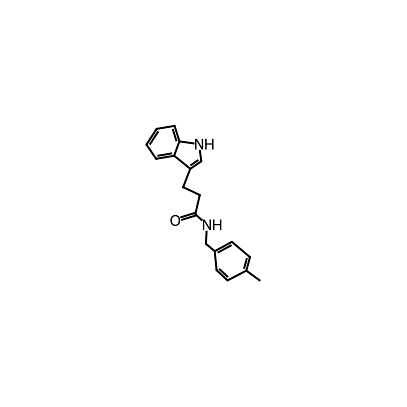 Cc1ccc(CNC(=O)CCc2c[nH]c3ccccc23)cc1